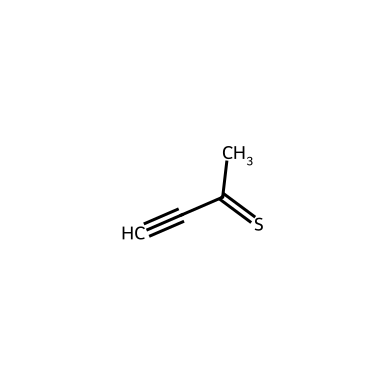 C#CC(C)=S